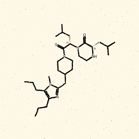 CCCc1nc(CC2CCN(C(=O)[C@H](CC(C)C)N3CCN[C@@H](CC(C)C)C3=O)CC2)n(C)c1CCC